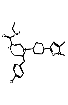 CCNC(=O)C1CN(C2CCC(c3cc(C)n(C)n3)CC2)C(Cc2ccc(Cl)cc2)CO1